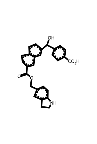 O=C(O)c1ccc(C(O)c2ccc3ccc(C(=O)OCc4ccc5c(c4)CCN5)cc3c2)cc1